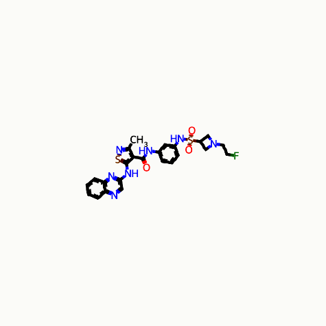 Cc1nsc(Nc2cnc3ccccc3n2)c1C(=O)Nc1cccc(NS(=O)(=O)C2CN(CCF)C2)c1